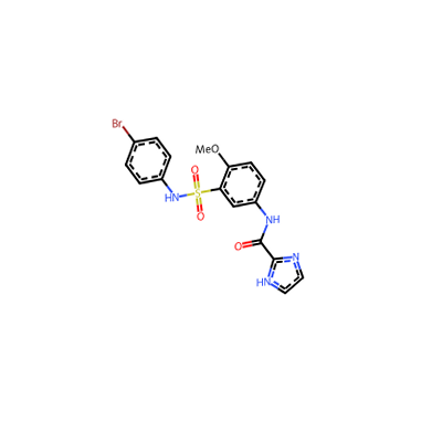 COc1ccc(NC(=O)c2ncc[nH]2)cc1S(=O)(=O)Nc1ccc(Br)cc1